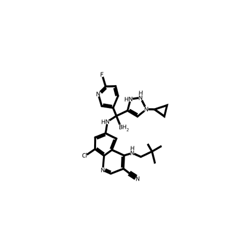 BC(Nc1cc(Cl)c2ncc(C#N)c(NCC(C)(C)C)c2c1)(C1=CN(C2CC2)NN1)c1ccc(F)nc1